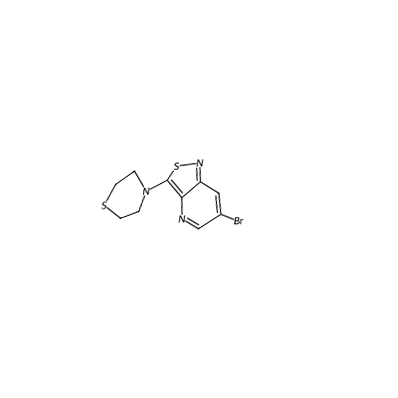 Brc1cnc2c(N3CCSCC3)snc2c1